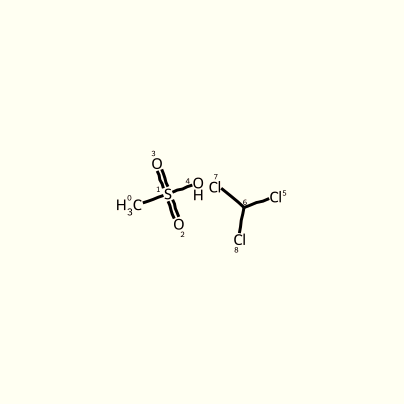 CS(=O)(=O)O.ClC(Cl)Cl